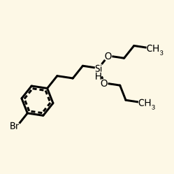 CCCO[SiH](CCCc1ccc(Br)cc1)OCCC